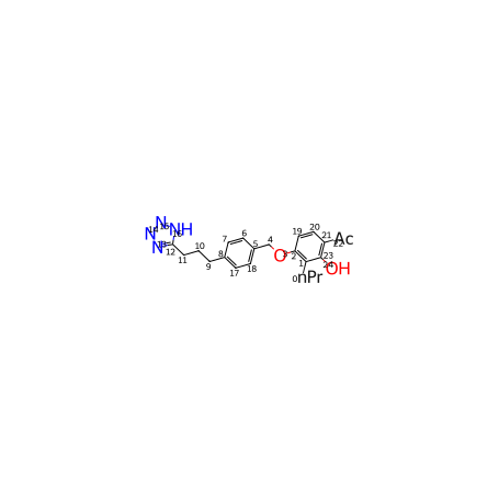 CCCc1c(OCc2ccc(CCCc3nnn[nH]3)cc2)ccc(C(C)=O)c1O